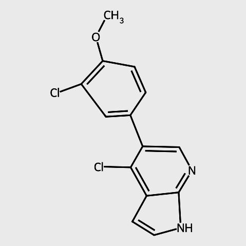 COc1ccc(-c2cnc3[nH]ccc3c2Cl)cc1Cl